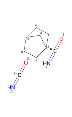 C1CC2CCC1C2.N=C=O.N=C=O